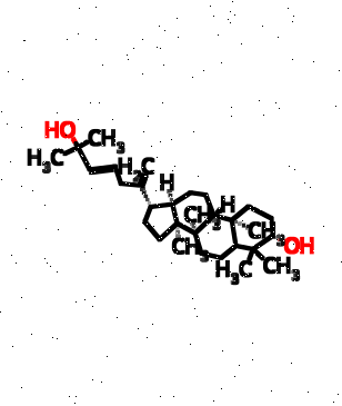 C=C(CC=CC(C)(C)O)[C@H]1CC[C@@]2(C)[C@@H]1CC[C@@H]1[C@@]3(C)CC[C@H](O)C(C)(C)C3CC[C@]12C